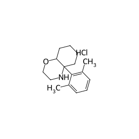 Cc1cccc(C)c1C12CCCCC1OCCN2.Cl